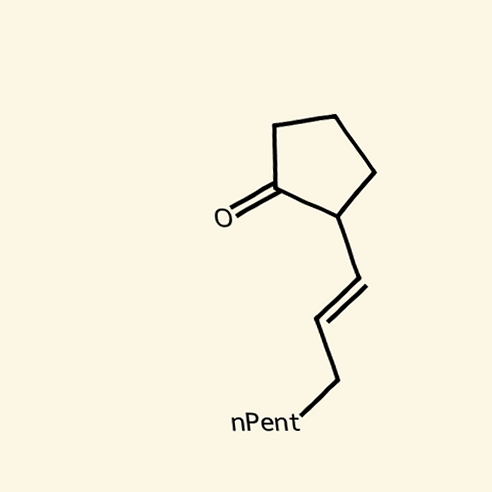 CCCCCCC=CC1CCCC1=O